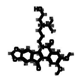 COc1cc2c3c(n(CCCN(CCO)[C@@H](C)I)c(=O)c2cc1OC)-c1cc2c(cc1C3=O)OCO2